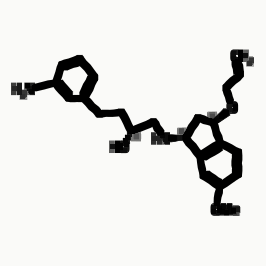 C=CCO[C@@H]1C[C@H](NC[C@H](O)CCc2cccc(N)c2)c2cc(OC)ccc21